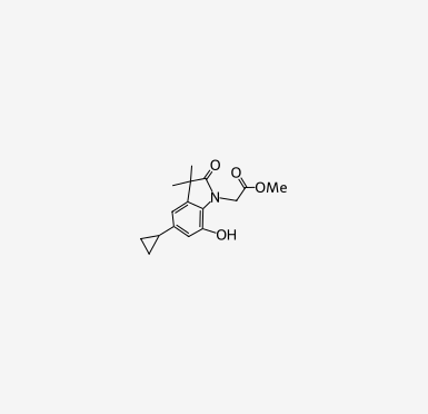 COC(=O)CN1C(=O)C(C)(C)c2cc(C3CC3)cc(O)c21